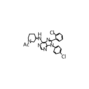 CC(=O)N1CCC[C@@H](Nc2ncnc3c2nc(-c2ccccc2Cl)n3-c2ccc(Cl)cc2)C1